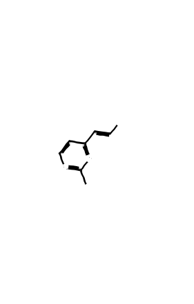 Cc1nccc(C=CC(=O)O)n1